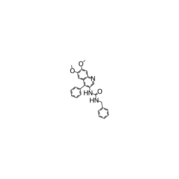 COc1cc2ncc(NC(=O)NCc3ccccc3)c(-c3ccccc3)c2cc1OC